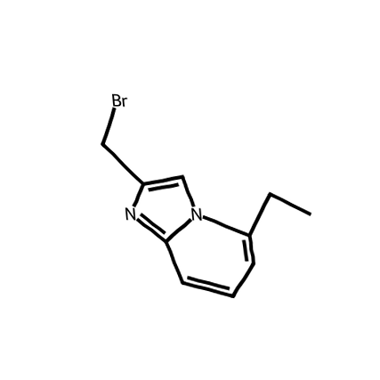 CCc1cccc2nc(CBr)cn12